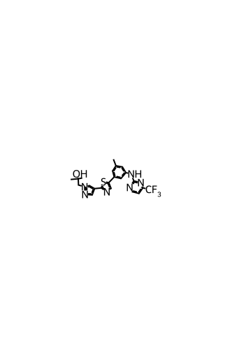 Cc1cc(Nc2nccc(C(F)(F)F)n2)cc(-c2cnc(-c3cnn(CC(C)(C)O)c3)s2)c1